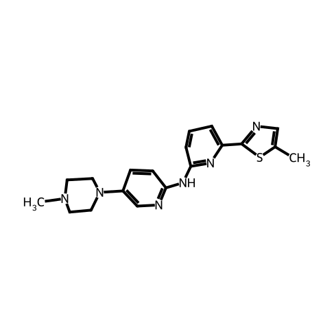 Cc1cnc(-c2cccc(Nc3ccc(N4CCN(C)CC4)cn3)n2)s1